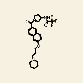 O=C(c1ccc2cc(OCCCN3CCCCC3)ccc2c1)N1CCC(NC(=O)C(F)(F)F)C1